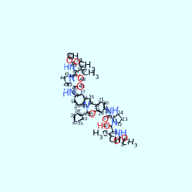 COC(=O)N[C@@H](C(C)C)C(O)N1CCC[C@H]1C(=O)Nc1ccc2c(c1)O[C@@H](c1ccccc1)n1c-2cc2cc(NC(=O)[C@@H]3CCCN3C(=O)[C@@H](NC(=O)OC)C(C)C)ccc21